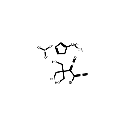 CCC(=C=O)C(=C=O)C(CO)(CO)CO.[CH3][Mn+3][C]1=CC=CC1.[O-]P([O-])[O-]